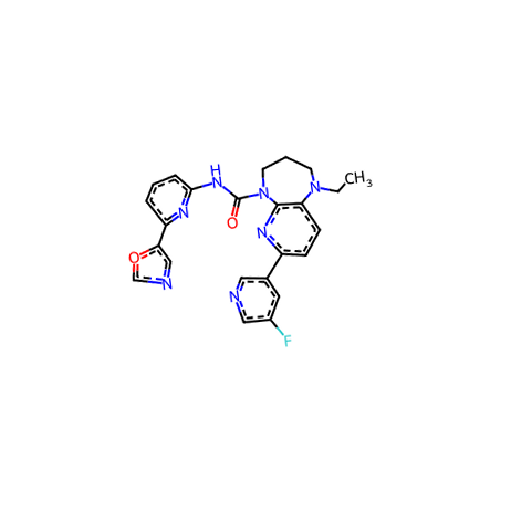 CCN1CCCN(C(=O)Nc2cccc(-c3cnco3)n2)c2nc(-c3cncc(F)c3)ccc21